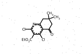 CCOC(=O)c1c(Cl)nc2c(c1Cl)C(=O)CC(C)(C)C2